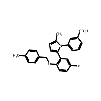 Cc1ccc(COc2ccc(Br)cc2-c2ccc(C)n2-c2cccc(C(=O)O)c2)cc1